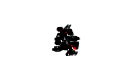 CCOCc1cc(NC2CCCC2)c2[nH]c(-c3ccccc3)c(CC(C)C(=O)O)c2c1.CCOCc1cc(NC2CCCC2)c2[nH]c(-c3ccccc3)c(CCC(=O)OC)c2c1